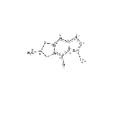 Cc1c[nH]c2nc3n(c(=O)c12)CC(C)C3